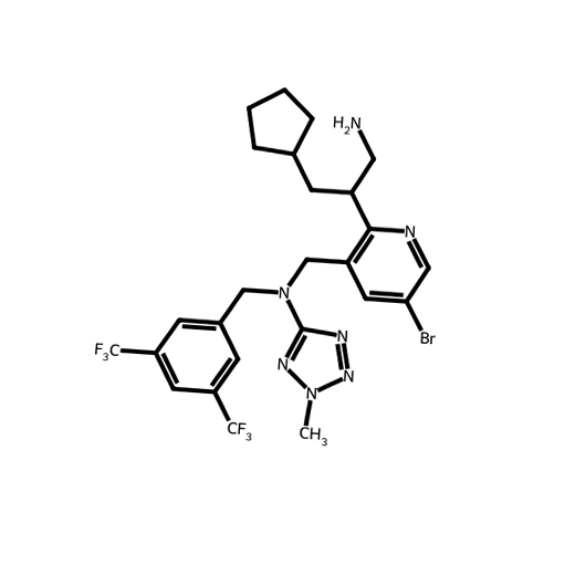 Cn1nnc(N(Cc2cc(C(F)(F)F)cc(C(F)(F)F)c2)Cc2cc(Br)cnc2C(CN)CC2CCCC2)n1